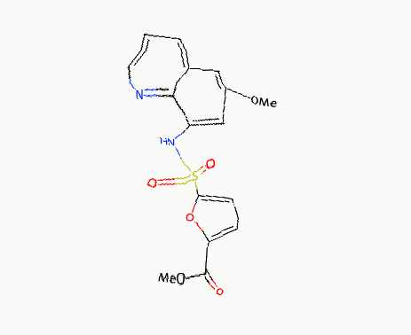 COC(=O)c1ccc(S(=O)(=O)Nc2cc(OC)cc3cccnc23)o1